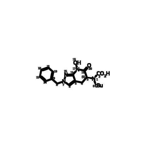 CC(C)(C)N(C(=O)O)[C@H]1Cc2cn(Cc3ccccc3)nc2N(O)C1=O